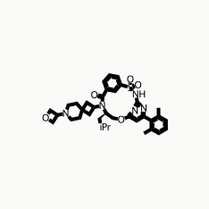 Cc1cccc(C)c1-c1cc2nc(n1)NS(=O)(=O)c1cccc(c1)C(=O)N(C1CC3(CCN(C4COC4)CC3)C1)[C@H](CC(C)C)CO2